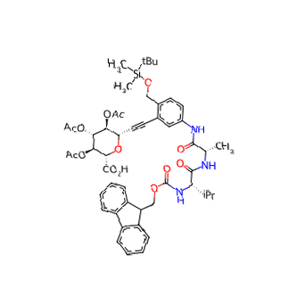 CC(=O)O[C@@H]1[C@@H](OC(C)=O)[C@H](C#Cc2cc(NC(=O)[C@H](C)NC(=O)[C@@H](NC(=O)OCC3c4ccccc4-c4ccccc43)C(C)C)ccc2CO[Si](C)(C)C(C)(C)C)O[C@H](C(=O)O)[C@H]1OC(C)=O